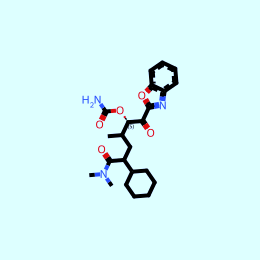 CC(CC(C(=O)N(C)C)C1CCCCC1)[C@H](OC(N)=O)C(=O)c1nc2ccccc2o1